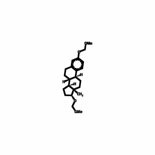 COCOc1ccc2c(c1)CC[C@@H]1[C@@H]2CC[C@]2(C)[C@@H](OCOC)CC[C@@H]12